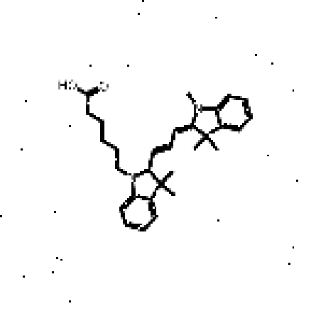 CN1/C(=C/C=C/C2N(CCCCCC(=O)O)c3ccccc3C2(C)C)C(C)(C)c2ccccc21